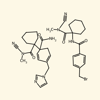 CN(C#N)C(=O)C1(C2(C(N)=O)C=CC(Cn3ccnc3)=CC2)CCCCC1.CN(C#N)C(=O)C1(NC(=O)c2ccc(CBr)cc2)CCCCC1